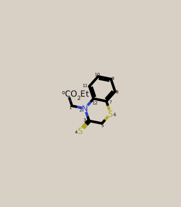 CCOC(=O)CN1C(=S)CSc2ccccc21